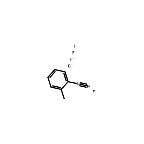 Cc1ccccc1[N+]#N.[B+3].[F-].[F-].[F-].[F-]